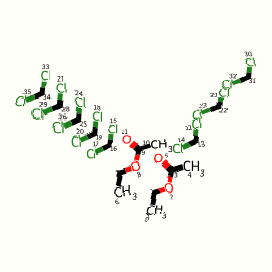 CCOC(C)=O.CCOC(C)=O.ClCCl.ClCCl.ClCCl.ClCCl.ClCCl.ClCCl.ClCCl.ClCCl